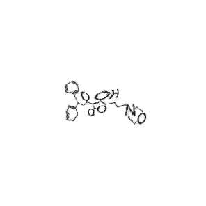 O=C(CC(c1ccccc1)c1ccccc1)C1=C(O)C(CCCN2CCOCC2)OC1=O